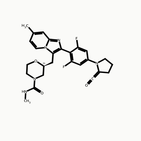 CNC(=O)N1CCO[C@@H](Cc2c(-c3c(F)cc(N4CCCC4=C=O)cc3F)nc3cc(C)ccn23)C1